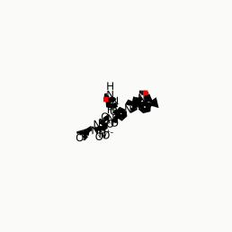 O=C(NS(=O)(=O)c1cnc(NCC2C3COCC23)c([N+](=O)[O-])c1)c1ccc(N2CCC3(CC2)CC(N2CCC4C[C@@]42c2ccccc2C2CC2)C3)cc1Oc1cnc2[nH]ccc2c1